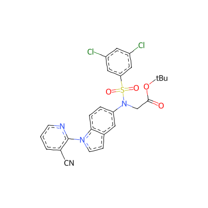 CC(C)(C)OC(=O)CN(c1ccc2c(ccn2-c2ncccc2C#N)c1)S(=O)(=O)c1cc(Cl)cc(Cl)c1